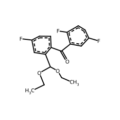 CCOC(OCC)c1cc(F)ccc1C(=O)c1cc(F)ccc1F